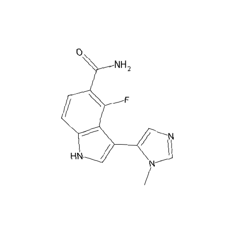 Cn1cncc1-c1c[nH]c2ccc(C(N)=O)c(F)c12